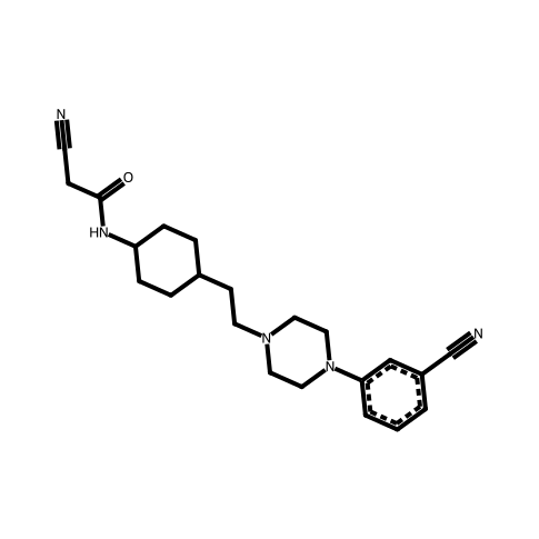 N#CCC(=O)NC1CCC(CCN2CCN(c3cccc(C#N)c3)CC2)CC1